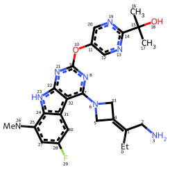 CCC(CN)=C1CN(c2nc(Oc3cnc(C(C)(C)O)nc3)nc3[nH]c4c(NC)cc(F)cc4c23)C1